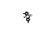 Cl.Cl.[CH2]=[Zr]([C]1=C(C)C=CC1)[C]1=C(C)C=C(C)C1